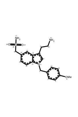 COc1ccc(Cn2cc(CCN)c3cc(CS(N)(=O)=O)ccc32)cc1